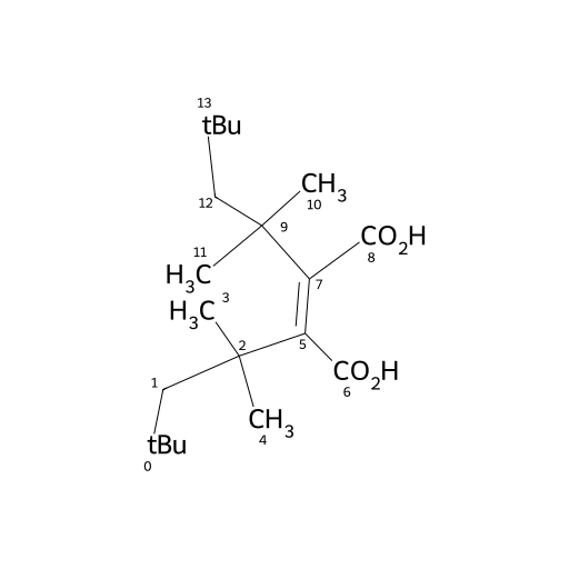 CC(C)(C)CC(C)(C)/C(C(=O)O)=C(/C(=O)O)C(C)(C)CC(C)(C)C